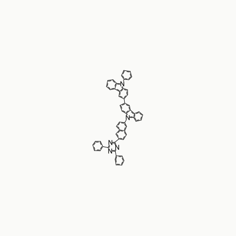 c1ccc(-c2nc(-c3ccccc3)nc(-c3ccc4cc(-n5c6ccccc6c6cc(-c7ccc8c(c7)c7ccccc7n8-c7ccccc7)ccc65)ccc4c3)n2)cc1